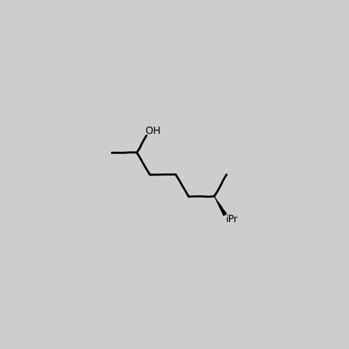 CC(O)CCC[C@@H](C)C(C)C